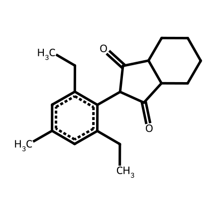 CCc1cc(C)cc(CC)c1C1C(=O)C2CCCCC2C1=O